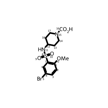 COc1ccc(Br)cc1S(=O)(=O)NC1CCN(C(=O)O)CC1